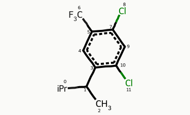 CC(C)C(C)c1cc(C(F)(F)F)c(Cl)cc1Cl